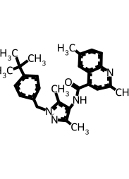 Cc1ccc2nc(C)cc(C(=O)Nc3c(C)nn(Cc4ccc(C(C)(C)C)cc4)c3C)c2c1